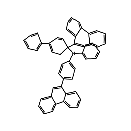 C1=CC(c2cc3ccccc3c3ccccc23)(N(c2ccccc2)c2ccc(-c3cc4ccccc4c4ccccc34)cc2)CC=C1c1ccccc1